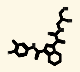 Cc1cc(NC(=O)c2cc(C(=O)C(=O)NCC(O)CO)n3c2CCCC3)ccc1F